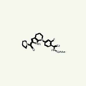 CONC(=O)c1ccc(N2CCCc3cc(C(=O)N4CCCC4)[nH]c32)cc1F